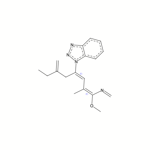 C=N/C(OC)=C(C)\C=C(/CC(=C)CC)n1nnc2ccccc21